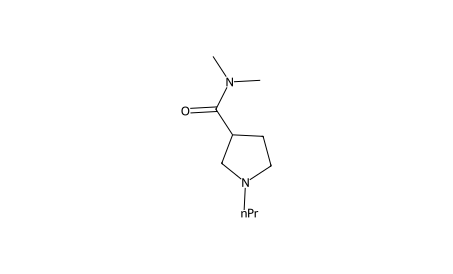 CCCN1CCC(C(=O)N(C)C)C1